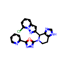 Clc1cccc2cc(C3c4nc[nH]c4CCN3c3nnc(-c4ccccn4)o3)nn12